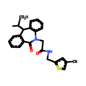 CC(C(=O)O)C1c2ccccc2C(=O)N(CC(=O)NCc2cc(C#N)cs2)c2ccccc21